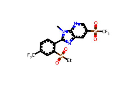 CCS(=O)(=O)c1cc(C(F)(F)F)ccc1-c1nc2cc(S(=O)(=O)C(F)(F)F)cnc2n1C